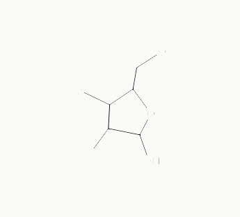 BC1OC(CO)C(O)C1C